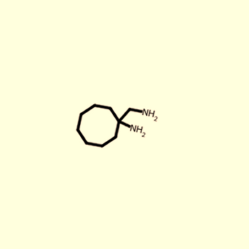 NCC1(N)CCCCCCC1